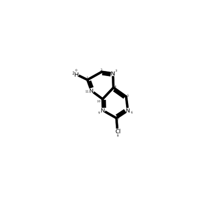 [2H]c1cnc2cnc(Cl)nc2n1